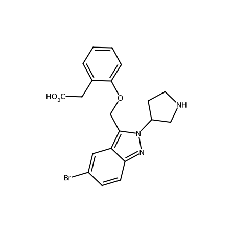 O=C(O)Cc1ccccc1OCc1c2cc(Br)ccc2nn1C1CCNC1